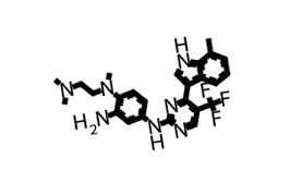 Cc1cccc2c(-c3nc(Nc4ccc(N(C)CCN(C)C)c(N)c4)ncc3C(F)(F)F)c[nH]c12